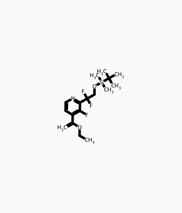 C=C(OCC)c1ccnc(C(F)(F)CO[Si](C)(C)C(C)(C)C)c1F